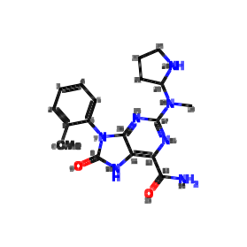 COc1ccccc1-n1c(=O)[nH]c2c(C(N)=O)nc(N(C)C3CCCN3)nc21